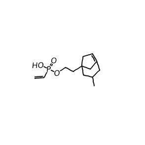 C=CP(=O)(O)OCCC12CC=C(CC(C)C1)C2